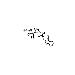 CCCCCCOC(=O)NC(=N)c1ccc(NCc2nc3c[c]ccc3[nH]2)cc1